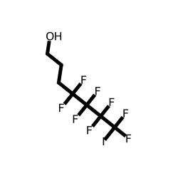 OCCCC(F)(F)C(F)(F)C(F)(F)C(F)(F)I